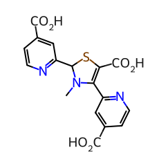 CN1C(c2cc(C(=O)O)ccn2)=C(C(=O)O)SC1c1cc(C(=O)O)ccn1